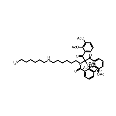 CC(=O)Oc1cccc(C(=O)N(CCCCCCNCCCCCCN)C(C(=O)O)(C(=O)c2cccc(OC(C)=O)c2OC(C)=O)C(=O)c2cccc(OC(C)=O)c2OC(C)=O)c1OC(C)=O